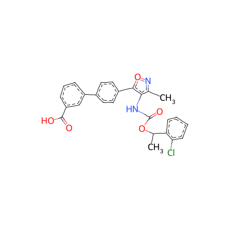 Cc1noc(-c2ccc(-c3cccc(C(=O)O)c3)cc2)c1NC(=O)OC(C)c1ccccc1Cl